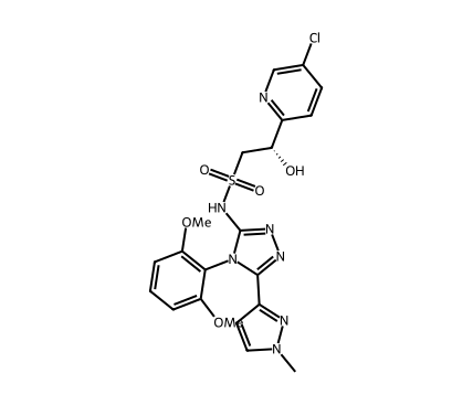 COc1cccc(OC)c1-n1c(NS(=O)(=O)C[C@@H](O)c2ccc(Cl)cn2)nnc1-c1ccn(C)n1